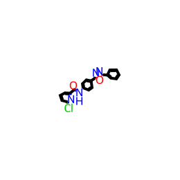 O=C(Nc1ccc(-c2nnc(-c3ccccc3)o2)cc1)c1cccc(Cl)n1